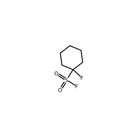 O=S(=O)(F)C1(F)CCCCC1